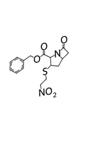 O=C(OCc1ccccc1)C1C(SCC[N+](=O)[O-])CC2CC(=O)N21